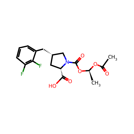 CC(=O)O[C@@H](C)OC(=O)N1C[C@@H](Cc2cccc(F)c2F)C[C@H]1C(=O)O